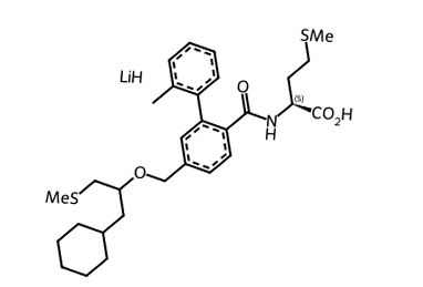 CSCC[C@H](NC(=O)c1ccc(COC(CSC)CC2CCCCC2)cc1-c1ccccc1C)C(=O)O.[LiH]